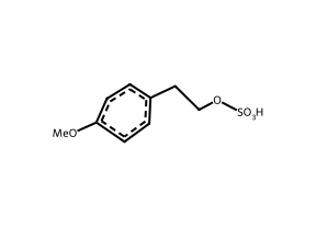 COc1ccc(CCOS(=O)(=O)O)cc1